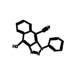 N#Cc1c2ccccc2c(O)c2nnn(-c3ccccc3)c12